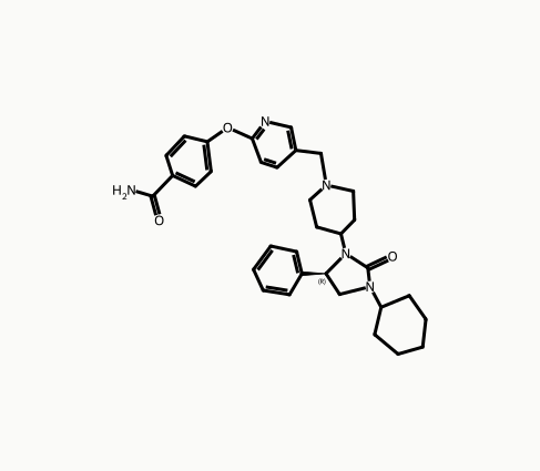 NC(=O)c1ccc(Oc2ccc(CN3CCC(N4C(=O)N(C5CCCCC5)C[C@H]4c4ccccc4)CC3)cn2)cc1